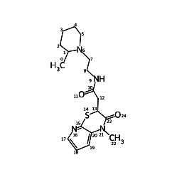 CC1CCCCN1CCNC(=O)CC1Sc2ncccc2N(C)C1=O